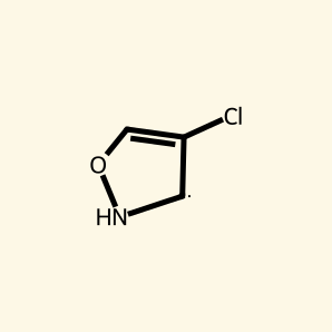 ClC1=CON[CH]1